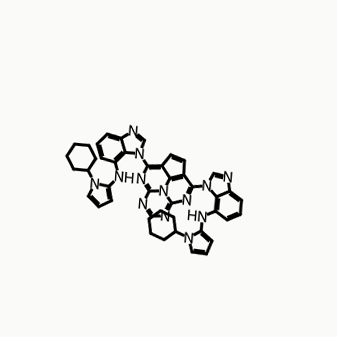 c1cc(Nc2cccn2C2CCCCC2)c2c(c1)ncn2-c1nc2ncnc3nc(-n4cnc5cccc(Nc6cccn6C6CCCCC6)c54)c4ccc1c4n23